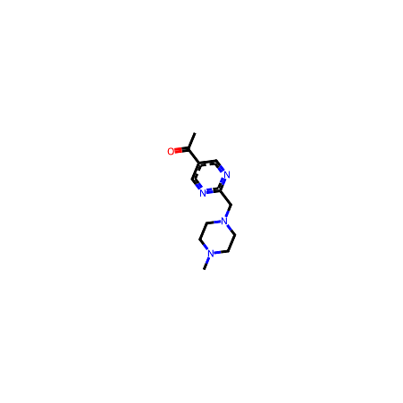 CC(=O)c1cnc(CN2CCN(C)CC2)nc1